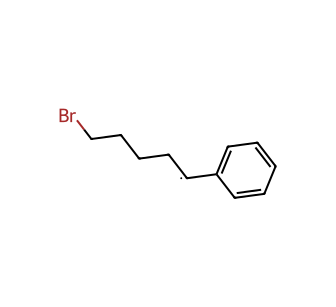 BrCCCC[CH]c1ccccc1